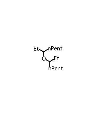 CCCCCC(CC)OC(CC)CCCCC